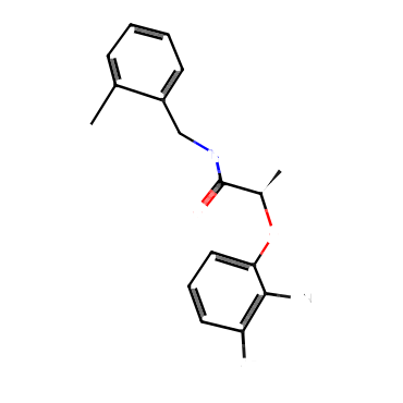 CCC[C@@H](Oc1cccc(C(F)(F)F)c1C#N)C(=O)NCc1ccccc1C